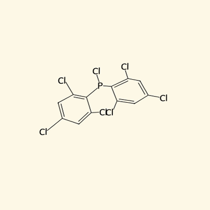 Clc1cc(Cl)c(P(Cl)c2c(Cl)cc(Cl)cc2Cl)c(Cl)c1